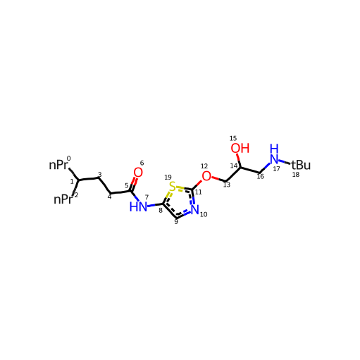 CCCC(CCC)CCC(=O)Nc1cnc(OCC(O)CNC(C)(C)C)s1